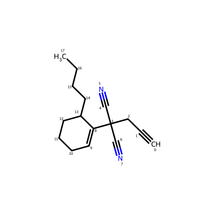 C#CCC(C#N)(C#N)C1=CCCCC1CCCC